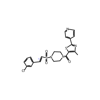 Cc1nc(-c2ccncc2)sc1C(=O)N1CCN(S(=O)(=O)/C=C/c2cccc(Cl)c2)CC1